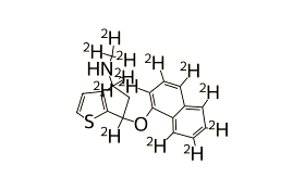 [2H]c1c([2H])c([2H])c2c(OC([2H])(CC([2H])([2H])NC([2H])([2H])[2H])c3cccs3)c([2H])c([2H])c([2H])c2c1[2H]